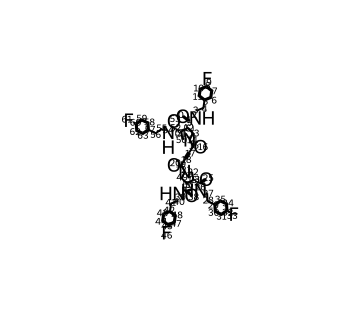 O=C(NCCc1ccc(F)cc1)[C@@H]1CN(C(=O)C#CC(=O)N2C[C@@H](C(=O)NCCc3ccc(F)cc3)[C@H](C(=O)NCCc3ccc(F)cc3)C2)C[C@H]1C(=O)NCCc1ccc(F)cc1